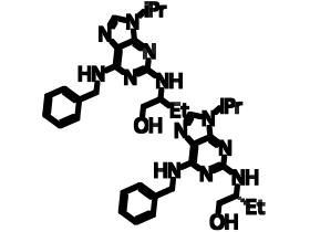 CCC(CO)Nc1nc(NCc2ccccc2)c2ncn(C(C)C)c2n1.CC[C@H](CO)Nc1nc(NCc2ccccc2)c2ncn(C(C)C)c2n1